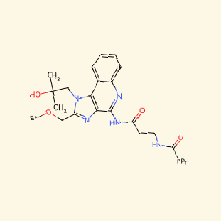 CCCC(=O)NCCC(=O)Nc1nc2ccccc2c2c1nc(COCC)n2CC(C)(C)O